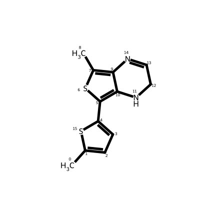 Cc1ccc(-c2sc(C)c3c2NCC=N3)s1